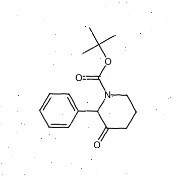 CC(C)(C)OC(=O)N1CCCC(=O)C1c1ccccc1